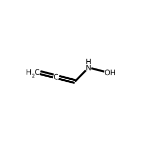 C=C=CNO